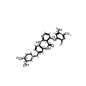 Cc1cc(F)c(Nc2ccnc3c2C(=O)Nc2cc(CN4CC[C@H](O)[C@@H](O)C4)ccc2N3)cc1O